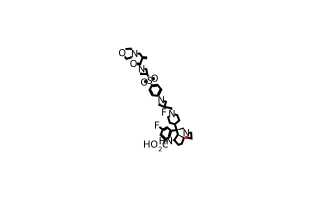 C=C(CN1CCOCC1)C(=O)N1CC(S(=O)(=O)c2ccc(N3CC(F)(CN4CCC([C@@](CN5CCC5)(c5cccc(F)c5)[C@H]5CCC[C@@H]5NC(=O)O)CC4)C3)cc2)C1